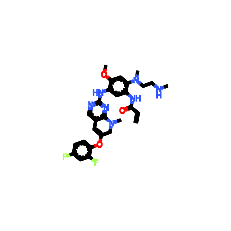 C=CC(=O)Nc1cc(Nc2ncc3c(n2)N(C)CC(Oc2ccc(F)cc2F)=C3)c(OC)cc1N(C)CCNC